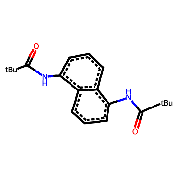 CC(C)(C)C(=O)Nc1cccc2c(NC(=O)C(C)(C)C)cccc12